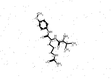 COc1ccc(NC(=O)[C@H](CCCNC(N)=O)NC(=O)[C@@H](N)C(C)C)cc1